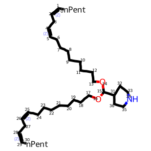 CCCCC/C=C\C/C=C\CCCCCCCCOC(OCCCCCCCC/C=C\C/C=C\CCCCC)C1CCNCC1